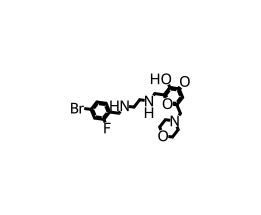 O=c1cc(CN2CCOCC2)oc(CNCCNCc2ccc(Br)cc2F)c1O